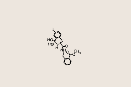 COC(=O)c1ccccc1CCNC(=O)C1=Nc2ccc(I)cc2S(O)(O)N1